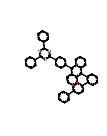 c1ccc(-c2ccc(-c3ccccc3-c3c4ccccc4c(-c4ccc(-c5nc(-c6ccccc6)nc(-c6ccccc6)n5)cc4)c4ccccc34)cc2)cc1